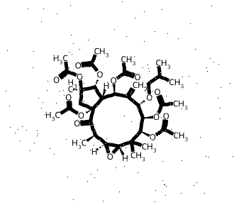 C=C1[C@H](OCC(C)C)[C@@H](OC(C)=O)[C@@H](OC(C)=O)C(C)(C)[C@@H]2O[C@H]2[C@@H](C)C(=O)[C@@]2(OC(C)=O)C[C@@](C)(OC(C)=O)[C@H](OC(C)=O)[C@@H]2[C@H]1OC(C)=O